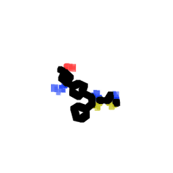 CC1(O)CC(N)(c2ccc(-c3nc(-c4cncs4)sc3-c3ccccc3)cc2)C1